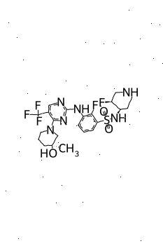 C[C@]1(O)CCCN(c2nc(Nc3cccc(S(=O)(=O)N[C@@H]4CCNC[C@@H]4F)c3F)ncc2C(F)(F)F)C1